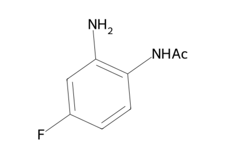 CC(=O)Nc1ccc(F)cc1N